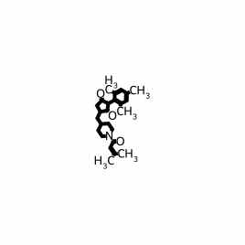 CC(C)=CC(=O)N1CCC(CC2CC(=O)C(c3c(C)cc(C)cc3C)C2=O)CC1